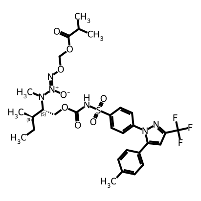 CC[C@@H](C)[C@@H](COC(=O)NS(=O)(=O)c1ccc(-n2nc(C(F)(F)F)cc2-c2ccc(C)cc2)cc1)N(C)[N+]([O-])=NOCOC(=O)C(C)C